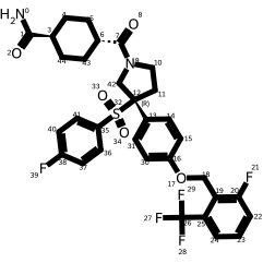 NC(=O)[C@H]1CC[C@H](C(=O)N2CC[C@](c3ccc(OCc4c(F)cccc4C(F)(F)F)cc3)(S(=O)(=O)c3ccc(F)cc3)C2)CC1